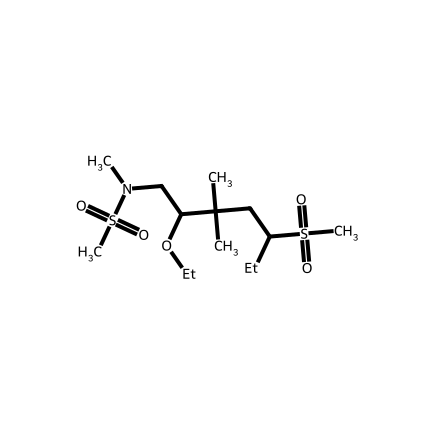 CCOC(CN(C)S(C)(=O)=O)C(C)(C)CC(CC)S(C)(=O)=O